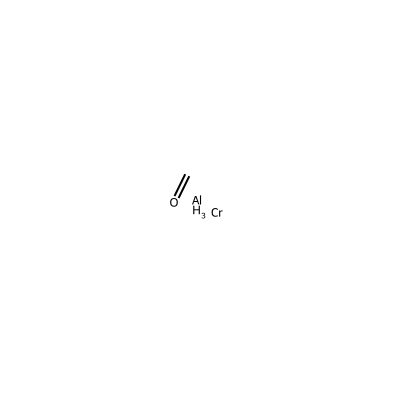 C=O.[AlH3].[Cr]